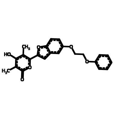 Cc1c(-c2cc3cc(OCCOc4ccccc4)ccc3o2)oc(=O)c(C)c1O